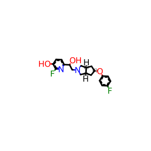 Oc1ccc(C(O)CN2C[C@H]3C[C@H](Oc4ccc(F)cc4)C[C@H]3C2)nc1F